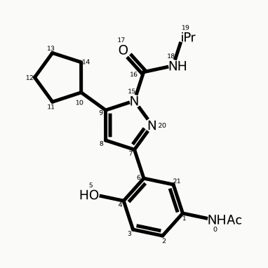 CC(=O)Nc1ccc(O)c(-c2cc(C3CCCC3)n(C(=O)NC(C)C)n2)c1